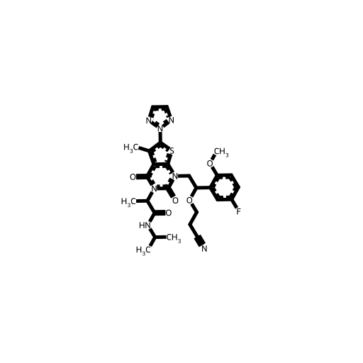 COc1ccc(F)cc1C(Cn1c(=O)n(C(C)C(=O)NC(C)C)c(=O)c2c(C)c(-n3nccn3)sc21)OCCC#N